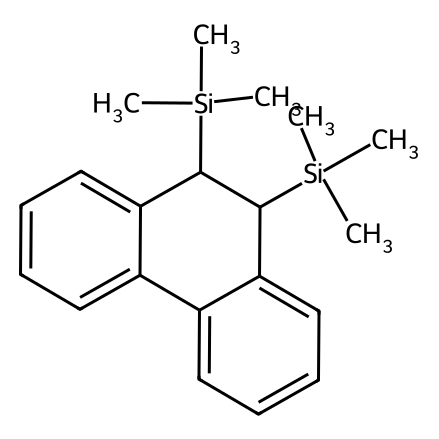 C[Si](C)(C)C1c2ccccc2-c2ccccc2C1[Si](C)(C)C